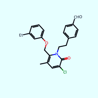 CCc1cccc(OCc2c(C)cc(Cl)c(=O)n2CCc2ccc(C=O)cc2)c1